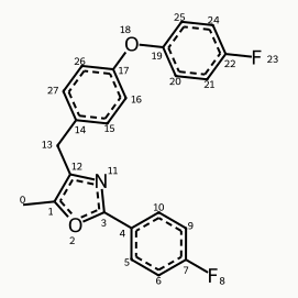 Cc1oc(-c2ccc(F)cc2)nc1Cc1ccc(Oc2ccc(F)cc2)cc1